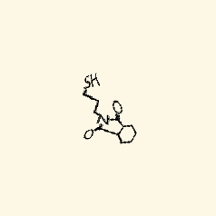 O=C1C2CCCCC2C(=O)N1CCCS